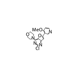 COc1ccncc1-c1cc2nc(Cl)nc(N3CCOCC3)c2o1